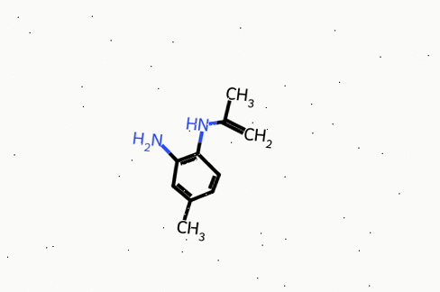 C=C(C)Nc1ccc(C)cc1N